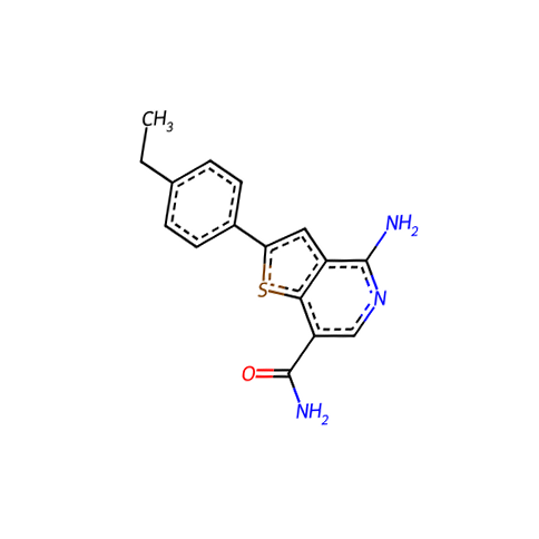 CCc1ccc(-c2cc3c(N)ncc(C(N)=O)c3s2)cc1